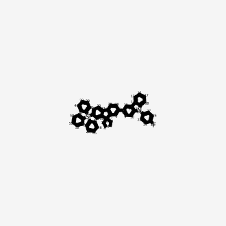 CCC1(CC)c2cc(-c3ccc4c(c3)c3ccccc3n4-c3ccc(F)cc3)ccc2-c2ccc([Si](c3ccccc3)(c3ccccc3)c3ccccc3)cc21